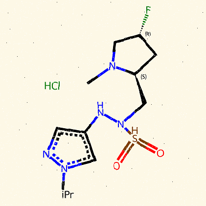 CC(C)n1cc(NN(C[C@@H]2C[C@@H](F)CN2C)[SH](=O)=O)cn1.Cl